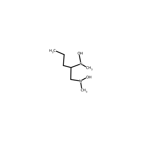 CCCC(CN(C)O)N(C)O